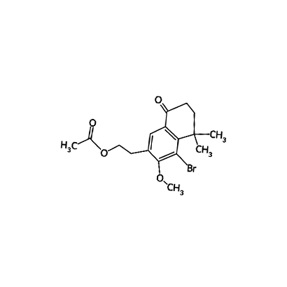 COc1c(CCOC(C)=O)cc2c(c1Br)C(C)(C)CCC2=O